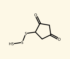 O=C1CC(=O)C(SSS)C1